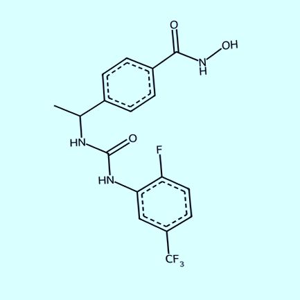 CC(NC(=O)Nc1cc(C(F)(F)F)ccc1F)c1ccc(C(=O)NO)cc1